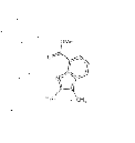 COC(=O)c1cccc2c1nc(C)n2C